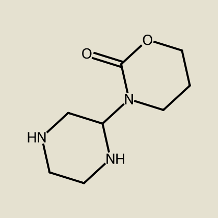 O=C1OCCCN1C1CNCCN1